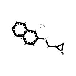 C.c1ccc2cc(OCC3CO3)ccc2c1